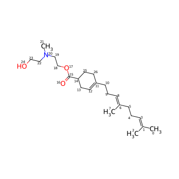 CC(C)=CCC/C(C)=C/CCC1=CCC(C(=O)OCCN(C)CCO)CC1